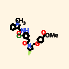 COC(=O)C1CCC(OC[C@@H]2C[C@H](F)CN2C(=O)Cc2ccc(NC(=O)c3cn(C)c4ccccc34)c(Cl)c2)CC1